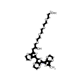 C=c1s/c(=C2/SC(c3sc(CC(O)COCCOCCOCCOCCCCCCCCCCCC)c4c3OCCO4)C3=C2OCCO3)c2c1OCCO2